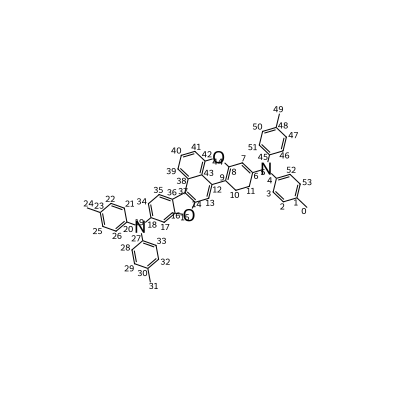 Cc1ccc(N(C2=CC3=C(CC2)c2cc4oc5cc(N(c6ccc(C)cc6)c6ccc(C)cc6)ccc5c4c4cccc(c24)O3)c2ccc(C)cc2)cc1